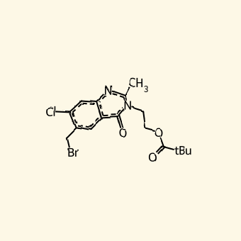 Cc1nc2cc(Cl)c(CBr)cc2c(=O)n1CCOC(=O)C(C)(C)C